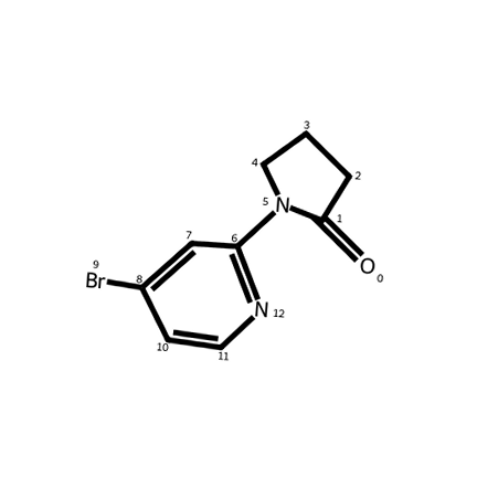 O=C1CCCN1c1cc(Br)ccn1